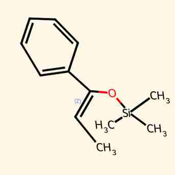 C/C=C(\O[Si](C)(C)C)c1ccccc1